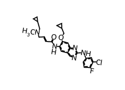 CN(CC=CC(=O)Nc1cc2cnc(Nc3ccc(F)c(Cl)c3)nc2cc1OCC1CC1)CC1CC1